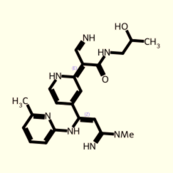 CNC(=N)/C=C(\Nc1cccc(C)n1)C1=C/C(=C(/C=N)C(=O)NCC(C)O)NC=C1